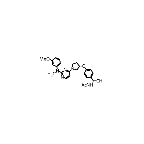 COc1cccc(N(C)c2nccc(N3CC[C@@H](Oc4ccc([C@H](C)NC(C)=O)cc4)C3)n2)c1